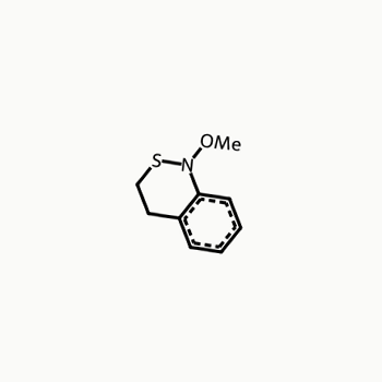 CON1SCCc2ccccc21